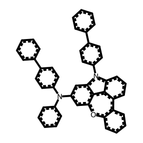 c1ccc(-c2ccc(N(c3ccccc3)c3cc4oc5ccccc5c5cccc6c5c4c(c3)n6-c3ccc(-c4ccccc4)cc3)cc2)cc1